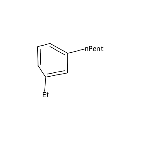 [CH2]Cc1cccc(CCCCC)c1